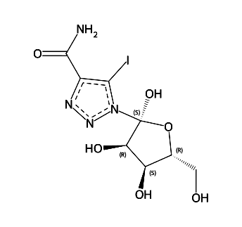 NC(=O)c1nnn([C@@]2(O)O[C@H](CO)[C@@H](O)[C@H]2O)c1I